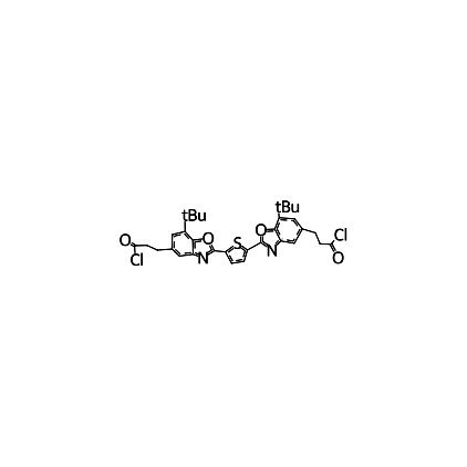 CC(C)(C)c1cc(CCC(=O)Cl)cc2nc(-c3ccc(-c4nc5cc(CCC(=O)Cl)cc(C(C)(C)C)c5o4)s3)oc12